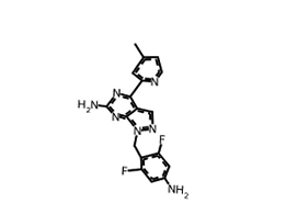 Cc1ccnc(-c2nc(N)nc3c2cnn3Cc2c(F)cc(N)cc2F)c1